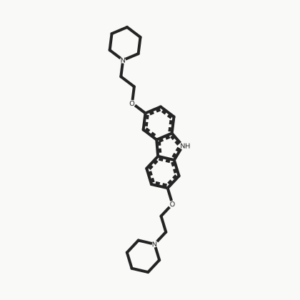 c1cc2c(cc1OCCN1CCCCC1)[nH]c1ccc(OCCN3CCCCC3)cc12